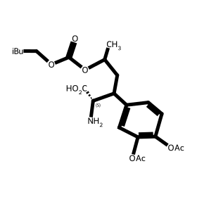 CCC(C)COC(=O)OC(C)CC(c1ccc(OC(C)=O)c(OC(C)=O)c1)[C@H](N)C(=O)O